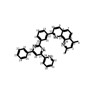 Cc1cc(C)c2ccc3ccc(-c4cccc(-c5nc(-c6ccccc6)cc(-c6ccccn6)n5)c4)nc3c2n1